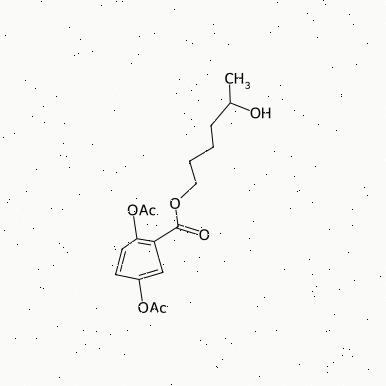 CC(=O)Oc1ccc(OC(C)=O)c(C(=O)OCCCCC(C)O)c1